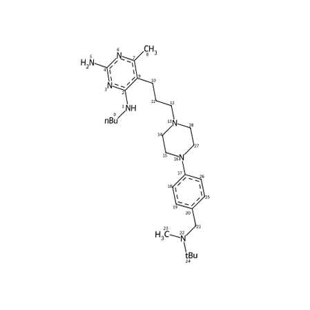 CCCCNc1nc(N)nc(C)c1CCCN1CCN(c2ccc(CN(C)C(C)(C)C)cc2)CC1